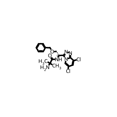 CC(C)(N)C(=O)N[C@H](COCc1ccccc1)c1nnc2c(Cl)cc(Cl)cn12